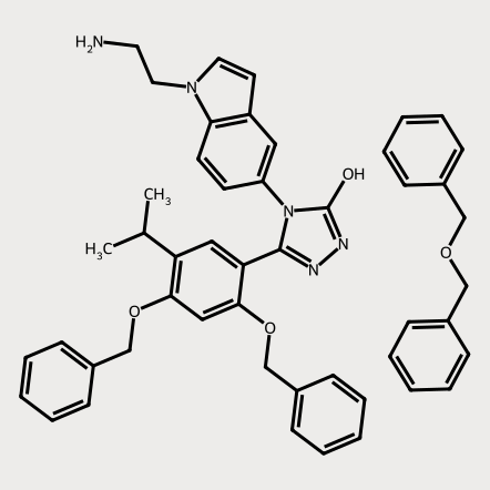 CC(C)c1cc(-c2nnc(O)n2-c2ccc3c(ccn3CCN)c2)c(OCc2ccccc2)cc1OCc1ccccc1.c1ccc(COCc2ccccc2)cc1